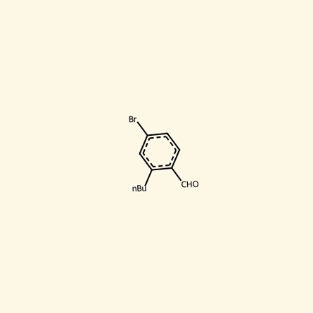 CCCCc1cc(Br)ccc1C=O